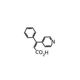 O=C(O)C=C(c1ccccc1)c1ccncc1